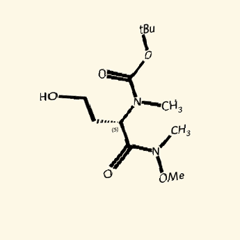 CON(C)C(=O)[C@H](CCO)N(C)C(=O)OC(C)(C)C